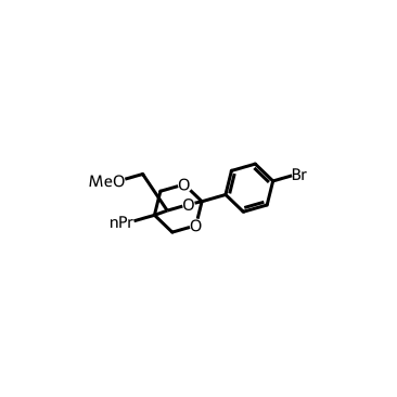 CCCC12COC(c3ccc(Br)cc3)(OC1)OC2COC